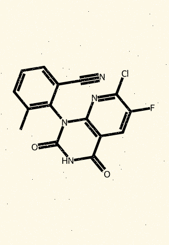 Cc1cccc(C#N)c1-n1c(=O)[nH]c(=O)c2cc(F)c(Cl)nc21